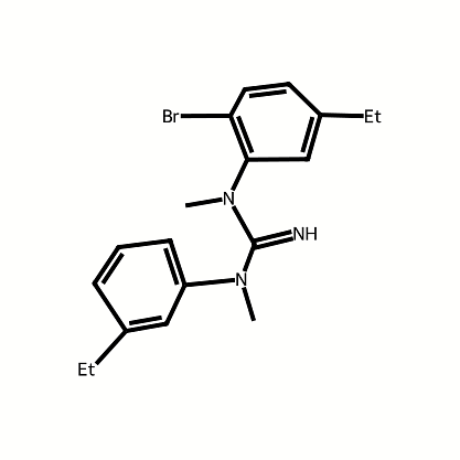 CCc1cccc(N(C)C(=N)N(C)c2cc(CC)ccc2Br)c1